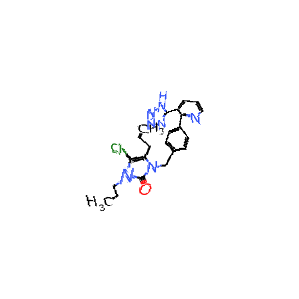 CCCc1c(Cl)n(CCC)c(=O)n1Cc1ccc(-c2ncccc2-c2nnn[nH]2)cc1